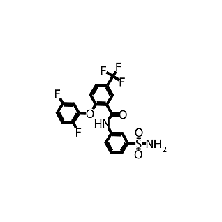 NS(=O)(=O)c1cccc(NC(=O)c2cc(C(F)(F)F)ccc2Oc2cc(F)ccc2F)c1